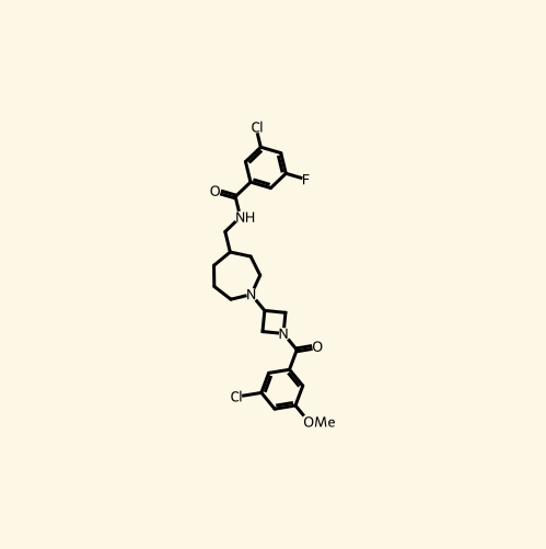 COc1cc(Cl)cc(C(=O)N2CC(N3CCCC(CNC(=O)c4cc(F)cc(Cl)c4)CC3)C2)c1